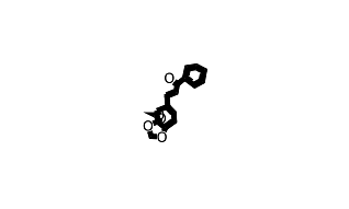 O=C(C=CC1=CC=C2OCOC23OCOC13)c1ccccc1